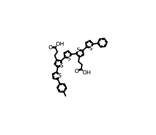 Cc1ccc(-c2ccc(-c3cc(CCC(=O)O)c(-c4ccc(-c5sc(-c6ccc(-c7ccccc7)s6)cc5CCC(=O)O)s4)s3)s2)cc1